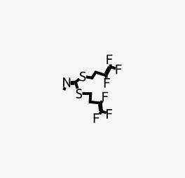 CN=C(SCCC(F)=C(F)F)SCCC(F)=C(F)F